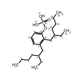 CCCCC(CC)Cc1cccc(OP(=O)(O)O)c1CC(CC)CCCC